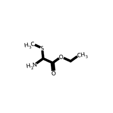 CCOC(=O)C(N)SC